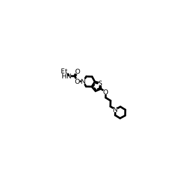 CCNC(=O)ON1CCc2sc(OCCCN3CCCCC3)cc2C1